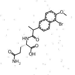 COc1ccc2cc(C(C)C(=O)N[C@@H](CCC(N)=O)C(=O)O)ccc2c1Br